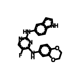 Fc1cnc(Nc2ccc3[nH]ccc3c2)nc1Nc1ccc2c(c1)OCCO2